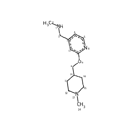 CNCc1ccnc(OCC2CCN(C)CC2)c1